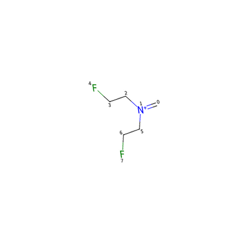 C=[N+](CCF)CCF